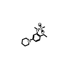 CCc1ccc(N2CCCCC2)cc1N(C)S(C)(=O)=O